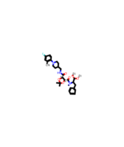 CCOC(OCC)C(Cc1ccccc1)N(C)C(=O)[C@@H]1OC(C)(C)O[C@H]1C(=O)NCC1CCN(c2ccc(F)cc2C#N)CC1